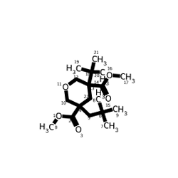 COC(=O)C1(CC(C)(C)C)COCC(C(=O)OC)(C(C)(C)C)C1